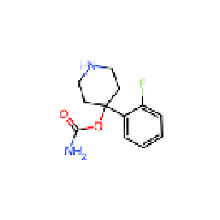 NC(=O)OC1(c2ccccc2F)CCNCC1